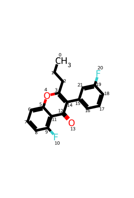 CCCc1oc2cccc(F)c2c(=O)c1-c1cccc(F)c1